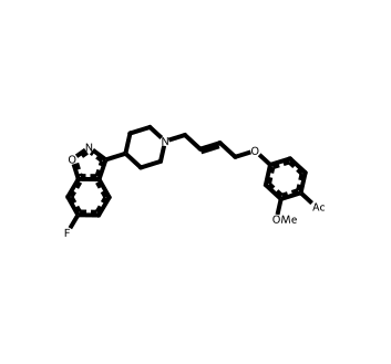 COc1cc(OCC=CCN2CCC(c3noc4cc(F)ccc34)CC2)ccc1C(C)=O